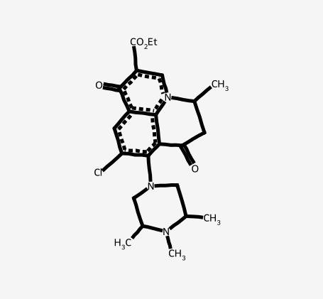 CCOC(=O)c1cn2c3c(c(N4CC(C)N(C)C(C)C4)c(Cl)cc3c1=O)C(=O)CC2C